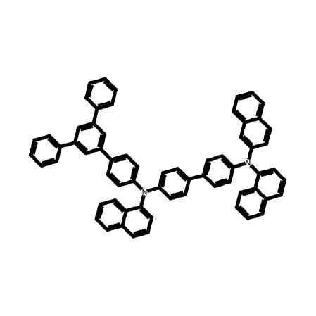 c1ccc(-c2cc(-c3ccccc3)cc(-c3ccc(N(c4ccc(-c5ccc(N(c6ccc7ccccc7c6)c6cccc7ccccc67)cc5)cc4)c4cccc5ccccc45)cc3)c2)cc1